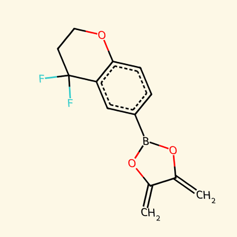 C=C1OB(c2ccc3c(c2)C(F)(F)CCO3)OC1=C